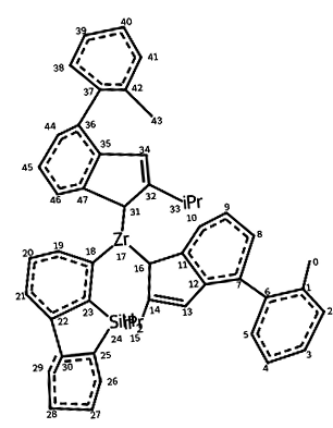 Cc1ccccc1-c1cccc2c1C=C(C(C)C)[CH]2[Zr]([c]1cccc2c1[SiH2]c1ccccc1-2)[CH]1C(C(C)C)=Cc2c(-c3ccccc3C)cccc21